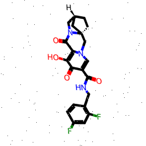 O=C(NCc1ccc(F)cc1F)c1cn2c(c(O)c1=O)C(=O)N1C[C@@H]3CC[C@]1(C3)C2